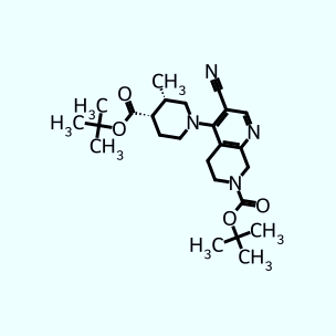 C[C@@H]1CN(c2c(C#N)cnc3c2CCN(C(=O)OC(C)(C)C)C3)CC[C@@H]1C(=O)OC(C)(C)C